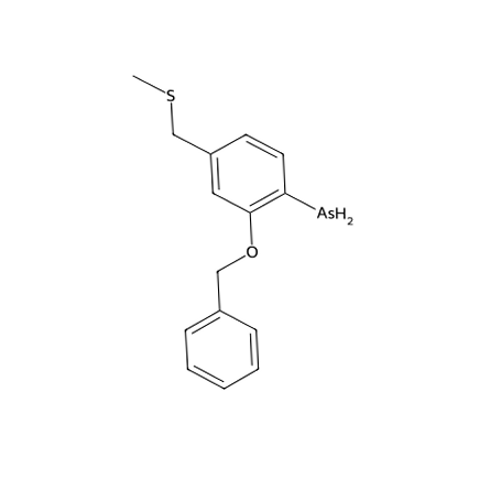 CSCc1ccc([AsH2])c(OCc2ccccc2)c1